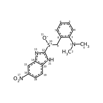 CN(C)c1ccccc1C[S+]([O-])c1nc2cc([N+](=O)[O-])ccc2[nH]1